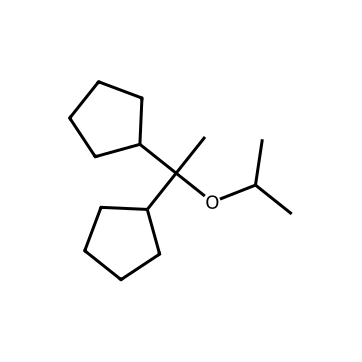 CC(C)OC(C)(C1CCCC1)C1CCCC1